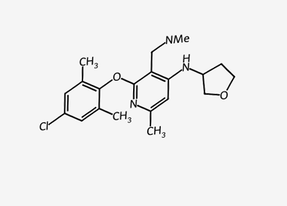 CNCc1c(NC2CCOC2)cc(C)nc1Oc1c(C)cc(Cl)cc1C